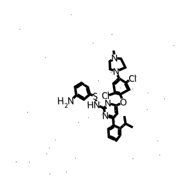 CC(C)c1ccccc1-c1cc(Oc2cc(Cl)c(N3CCN(C)CC3)cc2Cl)nc(NSc2cccc(N)c2)n1